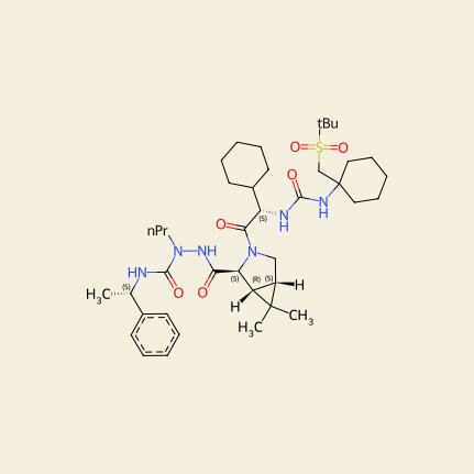 CCCN(NC(=O)[C@@H]1[C@@H]2[C@H](CN1C(=O)[C@@H](NC(=O)NC1(CS(=O)(=O)C(C)(C)C)CCCCC1)C1CCCCC1)C2(C)C)C(=O)N[C@@H](C)c1ccccc1